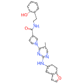 Cc1cnc(Nc2ccc3occc3c2)nc1-n1ccc(C(=O)NCCc2ccccc2O)c1